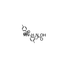 Cc1ccc(S(=O)(=O)NCc2ccc(C)c(C[C@H](N)C(=O)O)c2)cc1